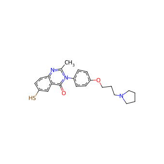 Cc1nc2ccc(S)cc2c(=O)n1-c1ccc(OCCCN2CCCC2)cc1